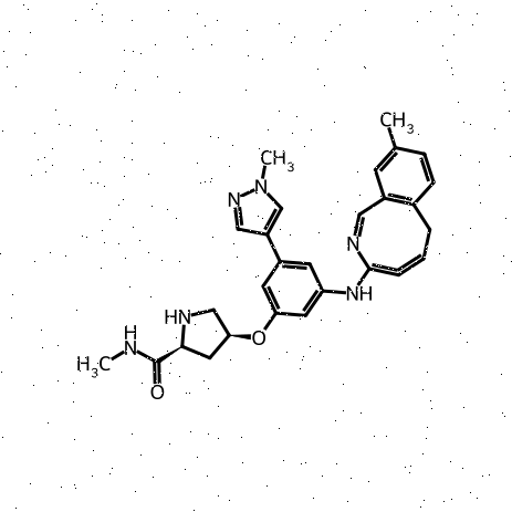 CNC(=O)[C@@H]1C[C@H](Oc2cc(NC3=C=CCc4ccc(C)cc4/C=N\3)cc(-c3cnn(C)c3)c2)CN1